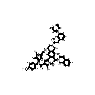 Cc1c(N(C(=O)c2cc(-c3cc4c(cc3C(=O)N3Cc5ccccc5C[C@H]3C)CN(C(=O)Cc3cccc(N5CCOCC5)c3)CC4)n(C)c2C)c2ccc(O)cc2)cc(C#N)n1C